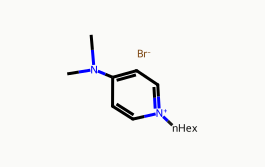 CCCCCC[n+]1ccc(N(C)C)cc1.[Br-]